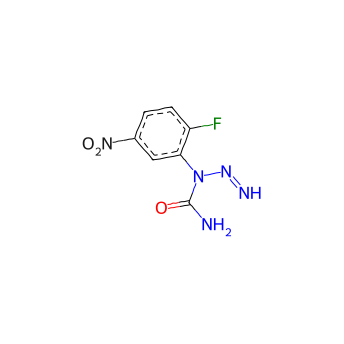 N=NN(C(N)=O)c1cc([N+](=O)[O-])ccc1F